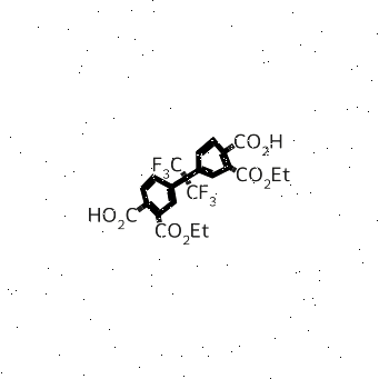 CCOC(=O)c1cc(C(c2ccc(C(=O)O)c(C(=O)OCC)c2)(C(F)(F)F)C(F)(F)F)ccc1C(=O)O